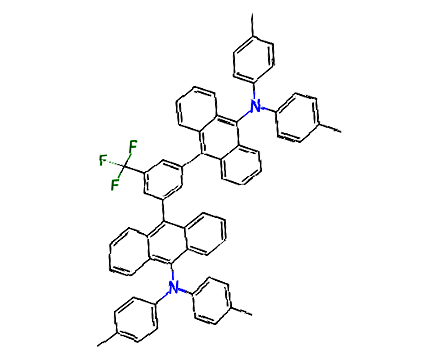 Cc1ccc(N(c2ccc(C)cc2)c2c3ccccc3c(-c3cc(-c4c5ccccc5c(N(c5ccc(C)cc5)c5ccc(C)cc5)c5ccccc45)cc(C(F)(F)F)c3)c3ccccc23)cc1